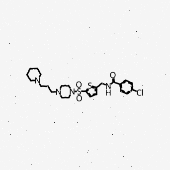 O=C(NCc1ccc(S(=O)(=O)N2CCN(CCCN3CCCCC3)CC2)s1)c1ccc(Cl)cc1